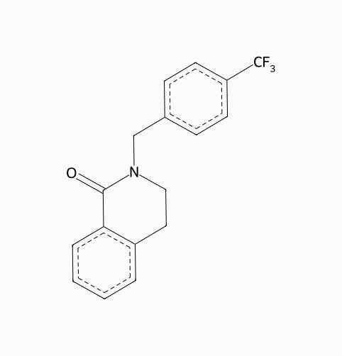 O=C1c2ccccc2CCN1Cc1ccc(C(F)(F)F)cc1